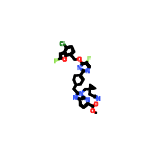 COC(=O)c1ccc2nc(CC3CC=C(c4ncc(F)c(OCc5ccc(Cl)c6cc(F)oc56)n4)CC3)n(CC3(CC#N)CC3)c2n1